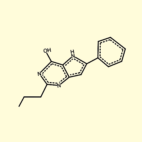 CCCc1nc(O)c2[nH]c(-c3ccccc3)cc2n1